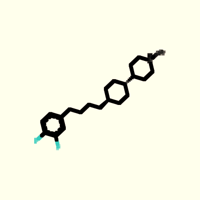 CCC[SiH]1CCC([C@H]2CC[C@H](CCCCc3ccc(F)c(F)c3)CC2)CC1